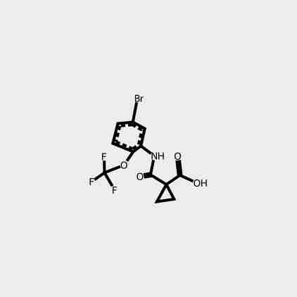 O=C(O)C1(C(=O)Nc2cc(Br)ccc2OC(F)(F)F)CC1